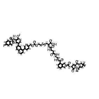 COc1ncc(-c2ccc3nccc(-c4ccc(COC(=O)OCCSSCC(NC(=O)CCC(=O)NCCNC(=O)c5cccc6c5CN(C(=O)C[C@@H]5C[C@@H](C(=O)N7CC(C)(F)C[C@H]7C#N)NC5=O)C6)C(=O)O)nc4)c3c2)cc1NS(=O)(=O)c1ccc(F)cc1F